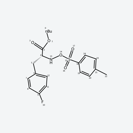 CCCCOC(=O)[C@@H](Cc1ccc(F)cc1)NOS(=O)(=O)c1ccc(C)cc1